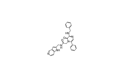 O=C(Cn1c(-c2ccccc2)cnc(NCc2ccccc2)c1=O)NCc1cc2cnccc2[nH]1